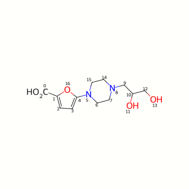 O=C(O)c1ccc(N2CCN(CC(O)CO)CC2)o1